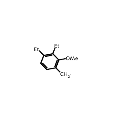 [CH2]c1ccc(CC)c(CC)c1OC